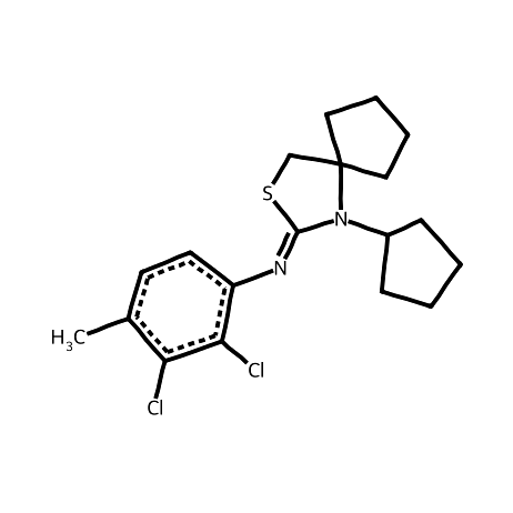 Cc1ccc(N=C2SCC3(CCCC3)N2C2CCCC2)c(Cl)c1Cl